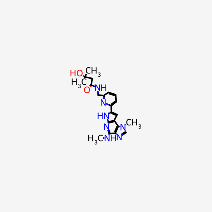 CNc1nc2[nH]c(-c3cccc(CNC(=O)CC(C)(C)O)n3)cc2c2c1ncn2C